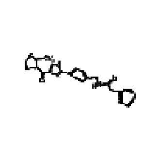 CC1SCCN1C(=O)c1coc(-c2ccc(CNC(=O)Cc3ccccc3)cc2)n1